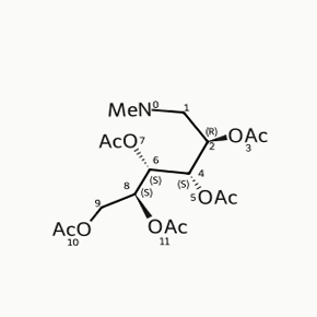 CNC[C@@H](OC(C)=O)[C@H](OC(C)=O)[C@@H](OC(C)=O)[C@H](COC(C)=O)OC(C)=O